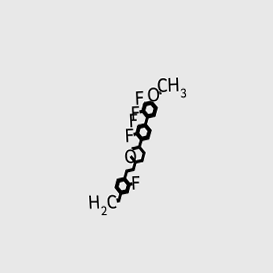 C=Cc1ccc(CCC2CCC(c3ccc(-c4ccc(OCC)c(F)c4F)c(F)c3F)CO2)c(F)c1